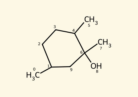 CC1CCC(C)C(C)(O)C1